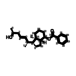 C[C@H](O)C/C=C/[C@@H](C)[C@H]1CC[C@H]2C(OC(=O)c3ccccc3)CCC[C@]12C